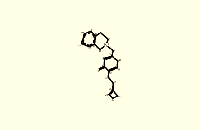 C=C1C=C(CN2CCc3ccccc3C2)CC=C1CCC1=CCC1